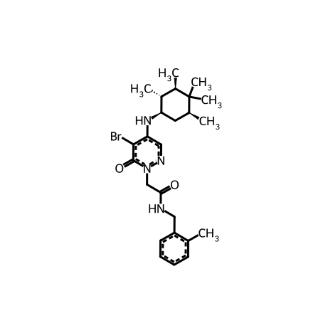 Cc1ccccc1CNC(=O)Cn1ncc(N[C@@H]2C[C@H](C)C(C)(C)[C@H](C)[C@H]2C)c(Br)c1=O